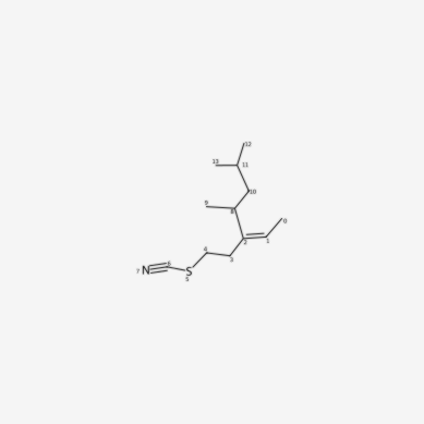 C/C=C(/CCSC#N)C(C)CC(C)C